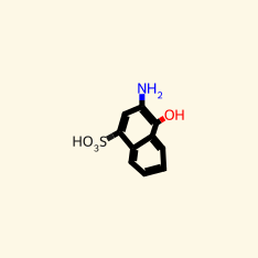 Nc1cc(S(=O)(=O)O)c2ccccc2c1O